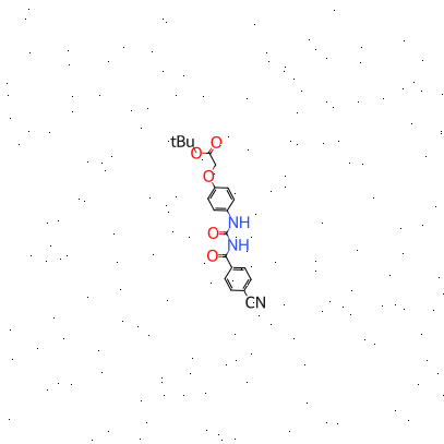 CC(C)(C)OC(=O)COc1ccc(NC(=O)NC(=O)c2ccc(C#N)cc2)cc1